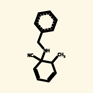 CC1C=CC=CC1(C#N)NCc1ccccc1